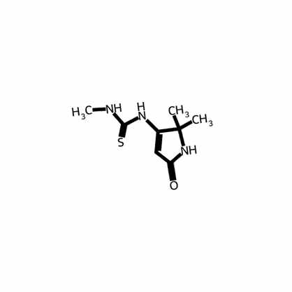 CNC(=S)NC1=CC(=O)NC1(C)C